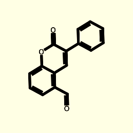 O=Cc1cccc2oc(=O)c(-c3ccccc3)cc12